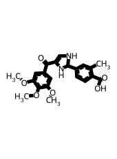 COc1cc(C(=O)C2=CNC(c3ccc(C(=O)O)c(C)c3)N2)cc(OC)c1OC